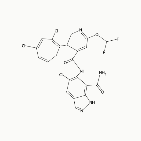 NC(=O)c1c(NC(=O)C2=CC(OC(F)F)=NCC2C2=C(Cl)C=C(Cl)C=CC2)c(Cl)cc2cn[nH]c12